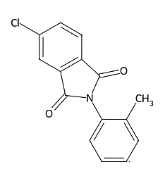 Cc1c[c]ccc1N1C(=O)c2ccc(Cl)cc2C1=O